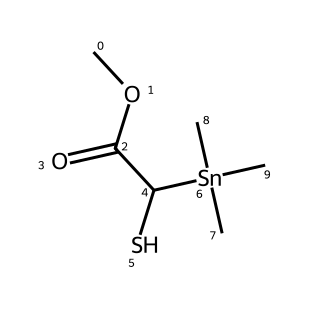 COC(=O)[CH](S)[Sn]([CH3])([CH3])[CH3]